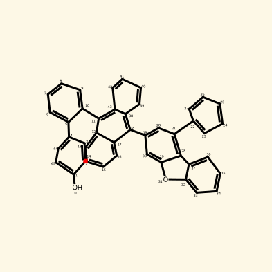 Oc1ccc(-c2ccccc2-c2c3ccccc3c(-c3cc(-c4ccccc4)c4c(c3)oc3ccccc34)c3ccccc23)cc1